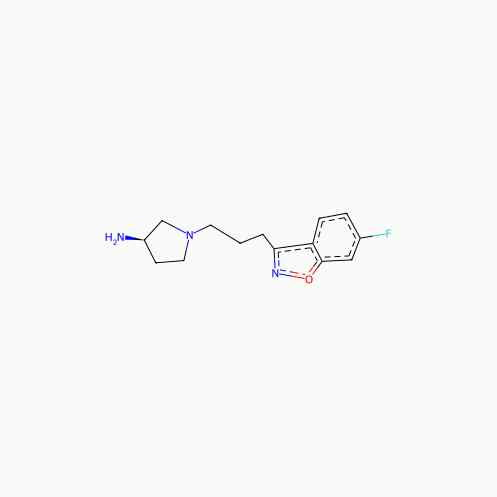 N[C@@H]1CCN(CCCc2noc3cc(F)ccc23)C1